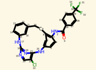 O=C(Nc1ccc2cc1CCc1cccc(c1)Nc1ncc(Cl)c(n1)N2)c1ccc(C(F)(F)F)cc1